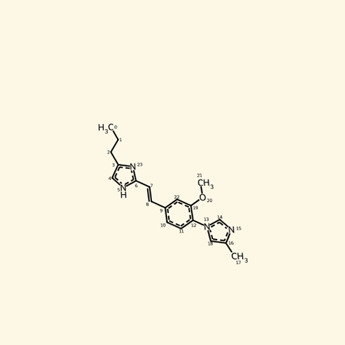 CCCc1c[nH]c(C=Cc2ccc(-n3cnc(C)c3)c(OC)c2)n1